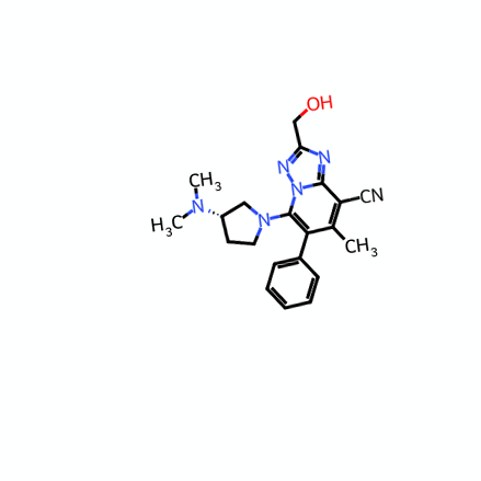 Cc1c(-c2ccccc2)c(N2CC[C@H](N(C)C)C2)n2nc(CO)nc2c1C#N